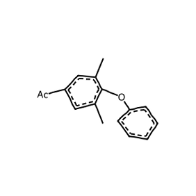 CC(=O)c1cc(C)c(Oc2ccccc2)c(C)c1